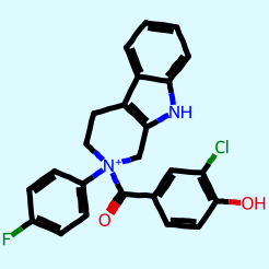 O=C(c1ccc(O)c(Cl)c1)[N+]1(c2ccc(F)cc2)CCc2c([nH]c3ccccc23)C1